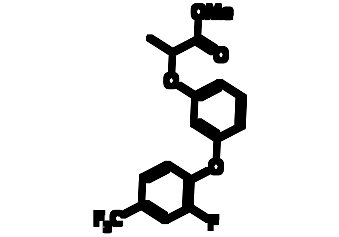 COC(=O)C(C)Oc1cccc(Oc2ccc(C(F)(F)F)cc2F)c1